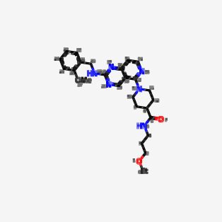 CCOCCCNC(=O)C1CCN(c2nccc3nc(NCc4ccccc4OC)ncc23)CC1